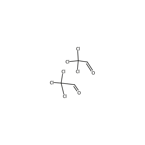 O=CC(Cl)(Cl)Cl.O=CC(Cl)(Cl)Cl